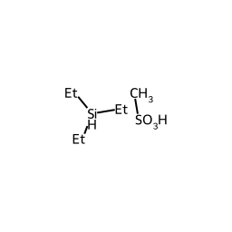 CC[SiH](CC)CC.CS(=O)(=O)O